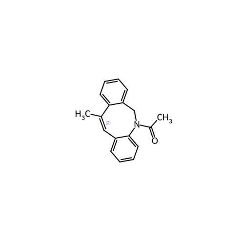 CC(=O)N1Cc2ccccc2/C(C)=C\c2ccccc21